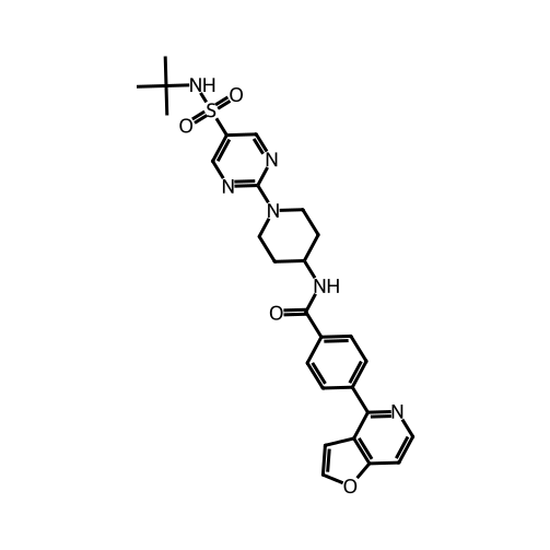 CC(C)(C)NS(=O)(=O)c1cnc(N2CCC(NC(=O)c3ccc(-c4nccc5occc45)cc3)CC2)nc1